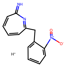 N=c1ccccc(Cc2ccccc2[N+](=O)[O-])n1.[H+]